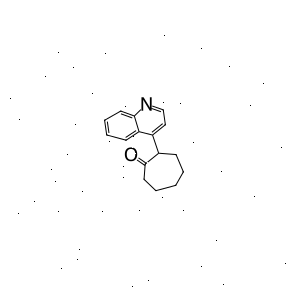 O=C1CCCCCC1c1ccnc2ccccc12